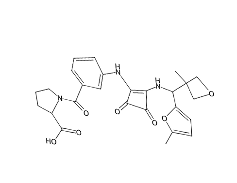 Cc1ccc(C(Nc2c(Nc3cccc(C(=O)N4CCCC4C(=O)O)c3)c(=O)c2=O)C2(C)COC2)o1